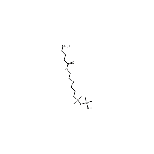 CCCC[Si](C)(C)O[Si](C)(C)CCCOCCOC(=O)CCCC(=O)O